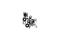 NC(C(=O)N1[C@H](C(=O)NCc2cc(Cl)ccc2-n2cnnn2)C[C@@H]2C[C@@H]21)c1ccccc1F